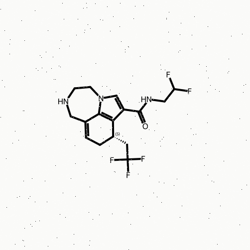 O=C(NCC(F)F)c1cn2c3c1[C@H](CC(F)(F)F)CC=C3CNCC2